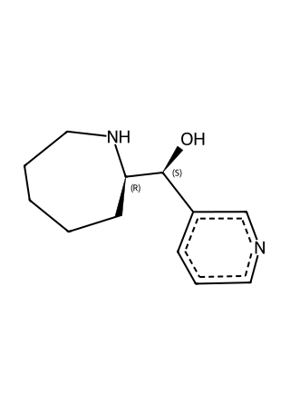 O[C@@H](c1cccnc1)[C@H]1CCCCCN1